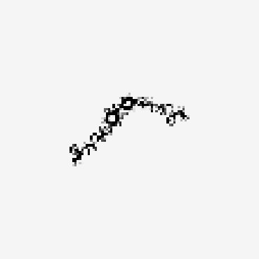 C=CC(=O)OCCOCCOc1ccc(Sc2ccc(OCCOCCOC(=O)C=C)cc2)cc1